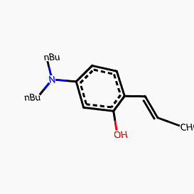 CCCCN(CCCC)c1ccc(/C=C/C=O)c(O)c1